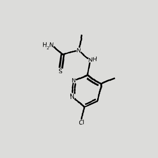 Cc1cc(Cl)nnc1NN(C)C(N)=S